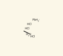 CN.Cl.Cl.Cl.[PbH2]